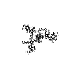 COCC[C@@H]1[C@@H](COP(=O)(O)OP(=O)(O)OP(=O)(S)OC[C@H]2O[C@@H](n3cnc4c(N)ncnc43)[C@H](OC)[C@@H]2SCOC[C@H]2O[C@@H](n3ccc(=O)[nH]c3=O)[C@H](O)[C@@H]2O)OC(n2c[n+](C)c3c(=O)[nH]c(N)nc32)[C@@H]1O